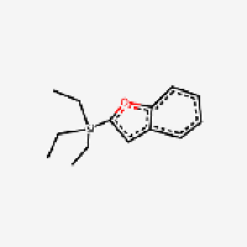 CC[Si](CC)(CC)c1cc2ccccc2o1